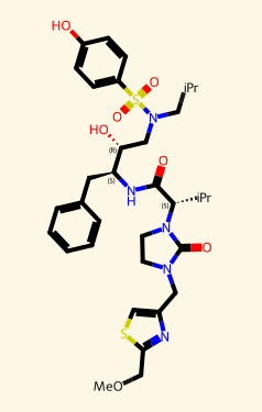 COCc1nc(CN2CCN([C@H](C(=O)N[C@@H](Cc3ccccc3)[C@H](O)CN(CC(C)C)S(=O)(=O)c3ccc(O)cc3)C(C)C)C2=O)cs1